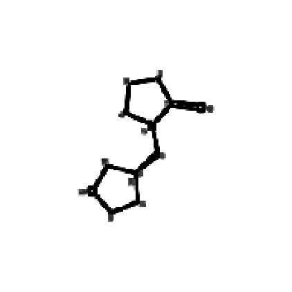 O=C1CCCN1C[C@H]1CCOC1